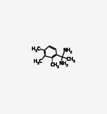 Cc1ccc(C(C)(N)N)c(C)c1C